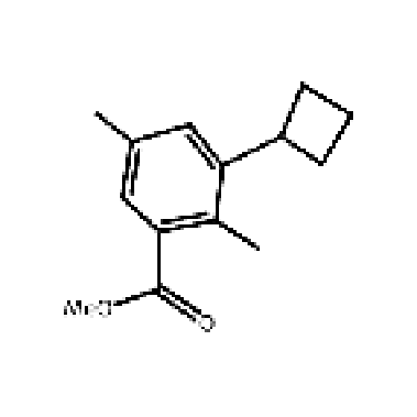 COC(=O)c1cc(I)cc(C2CCC2)c1C